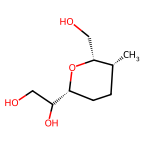 C[C@@H]1CC[C@H](C(O)CO)O[C@@H]1CO